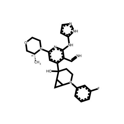 C[C@@H]1COCCN1c1cc(C2(O)CCN(c3cccc(F)c3)C3CC32)c(C=N)c(Nc2ccn[nH]2)n1